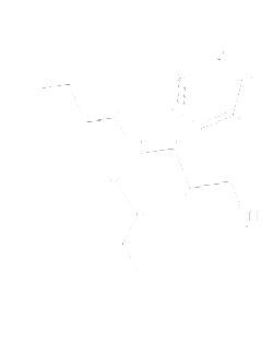 CCCCP(CCCC)CCCC.c1ccccc1